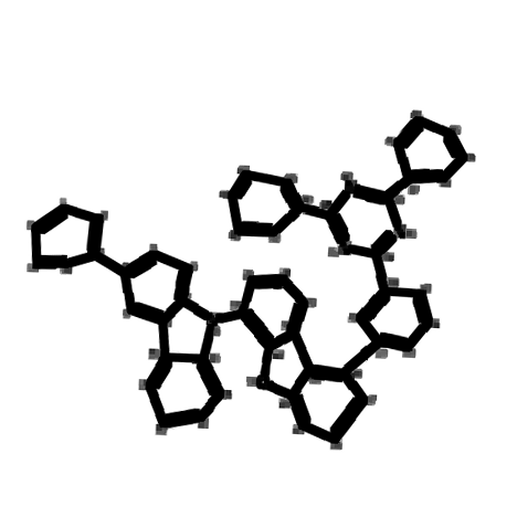 c1ccc(-c2ccc3c(c2)c2ccccc2n3-c2cccc3c2oc2cccc(-c4cccc(-c5nc(-c6ccccc6)nc(-c6ccccc6)n5)c4)c23)cc1